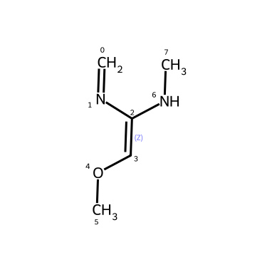 C=N/C(=C\OC)NC